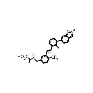 Cc1c(/C=C/c2cc(CNC(C)C(=O)O)ccc2C(F)(F)F)cccc1-c1ccc2cn(C)nc2c1